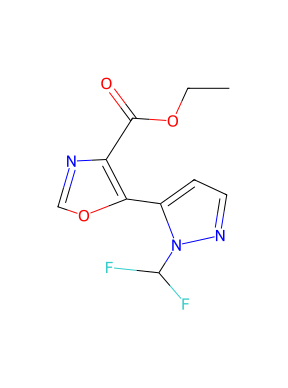 CCOC(=O)c1ncoc1-c1ccnn1C(F)F